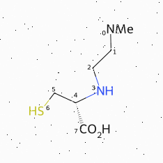 CNCCN[C@@H](CS)C(=O)O